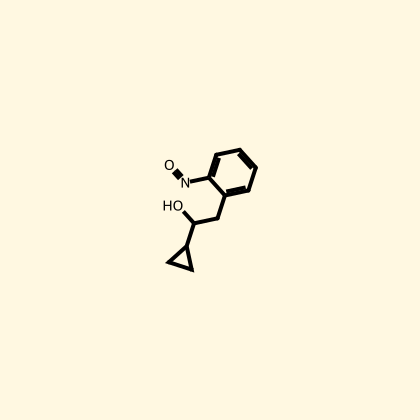 O=Nc1ccccc1CC(O)C1CC1